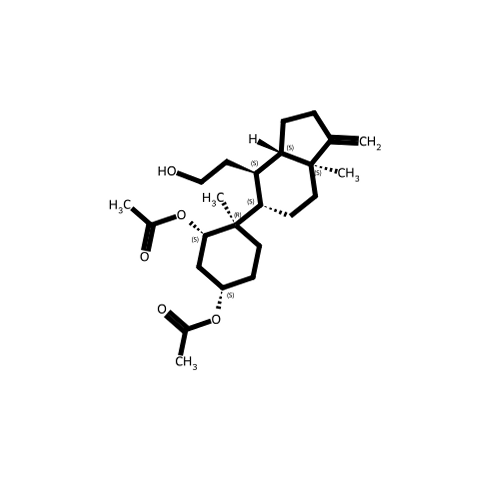 C=C1CC[C@H]2[C@H](CCO)[C@@H]([C@@]3(C)CC[C@H](OC(C)=O)C[C@@H]3OC(C)=O)CC[C@]12C